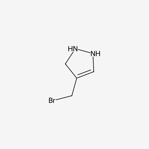 BrCC1=CNNC1